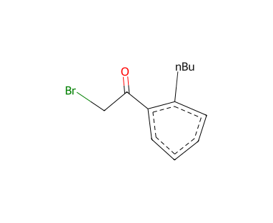 CCCCc1ccccc1C(=O)CBr